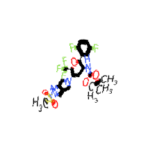 CC(C)(C)OC(=O)N[C@H]1C[C@H](N2Cc3cn(S(C)(=O)=O)nc3C2)[C@H](C(F)(F)F)O[C@@H]1c1cc(F)ccc1F